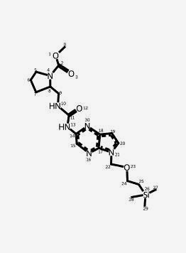 COC(=O)N1CCCC1CNC(=O)Nc1cnc2c(ccn2COCC[Si](C)(C)C)n1